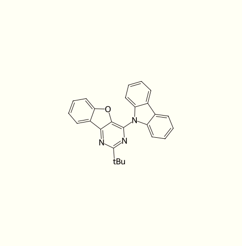 CC(C)(C)c1nc(-n2c3ccccc3c3ccccc32)c2oc3ccccc3c2n1